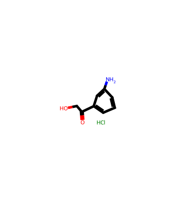 Cl.Nc1cccc(C(=O)CO)c1